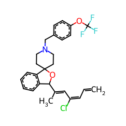 C=C/C=C(Cl)\C=C(/C)C1OC2(CCN(Cc3ccc(OC(F)(F)F)cc3)CC2)c2ccccc21